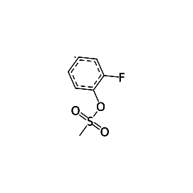 CS(=O)(=O)Oc1cc[c]cc1F